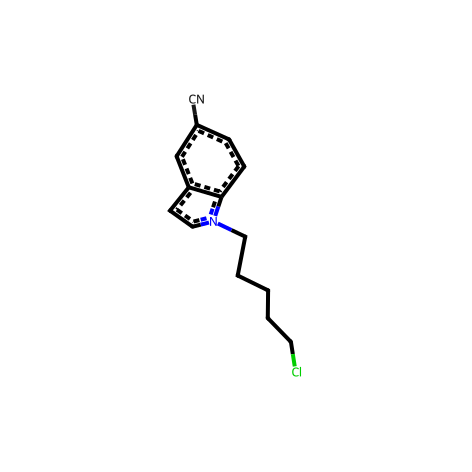 N#Cc1ccc2c(ccn2CCCCCCl)c1